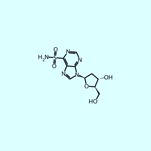 NS(=O)(=O)c1ncnc2c1ncn2[C@H]1C[C@H](O)[C@@H](CO)O1